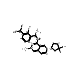 C[C@@H](NC1=NN(C)C=C2C=CN([C@@H]3CCC(F)(F)C3)C=C21)c1cccc(C(F)F)c1F